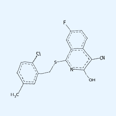 Cc1ccc(Cl)c(CSc2nc(O)c(C#N)c3ccc(F)cc23)c1